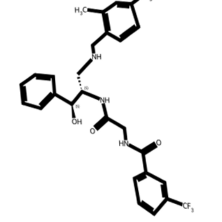 Cc1ccc(CNC[C@H](NC(=O)CNC(=O)c2cccc(C(F)(F)F)c2)[C@@H](O)c2ccccc2)c(C)c1